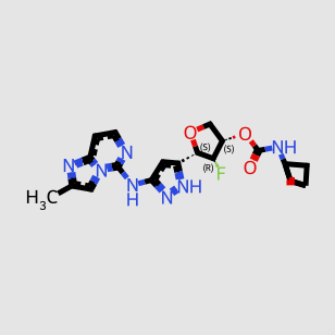 Cc1cn2c(Nc3cc([C@@H]4OC[C@H](OC(=O)NC56CC(C5)C6)[C@@H]4F)[nH]n3)nccc2n1